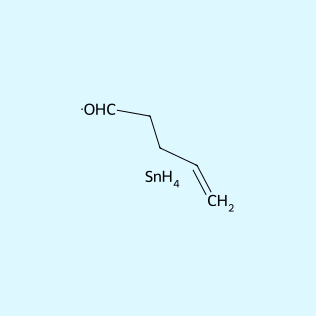 C=CCC[C]=O.[SnH4]